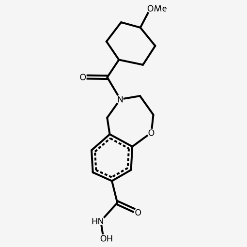 COC1CCC(C(=O)N2CCOc3cc(C(=O)NO)ccc3C2)CC1